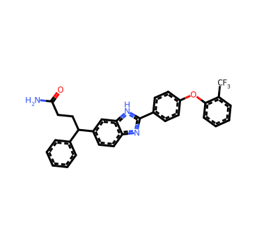 NC(=O)CCC(c1ccccc1)c1ccc2nc(-c3ccc(Oc4ccccc4C(F)(F)F)cc3)[nH]c2c1